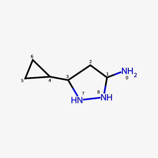 NC1CC(C2CC2)NN1